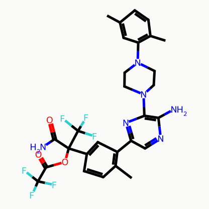 Cc1ccc(C)c(N2CCN(c3nc(-c4cc(C(OC(=O)C(F)(F)F)(C(N)=O)C(F)(F)F)ccc4C)cnc3N)CC2)c1